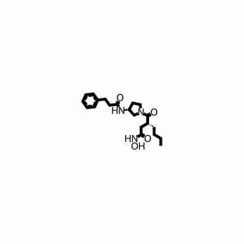 CCCC[C@H](CC(=O)NO)C(=O)N1CC[C@H](NC(=O)CCc2ccccc2)C1